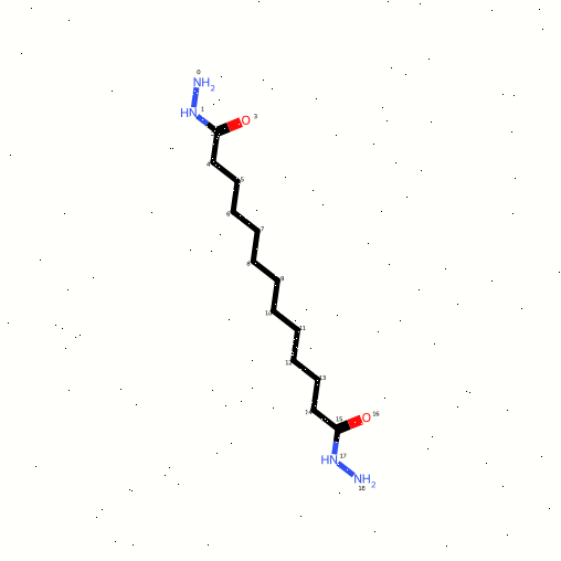 NNC(=O)CCCCCCCCCCCC(=O)NN